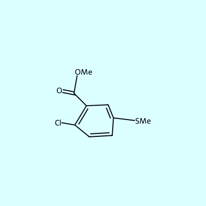 COC(=O)c1cc(SC)ccc1Cl